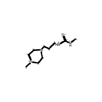 CNC(=O)NCCCN1CCN(C)CC1